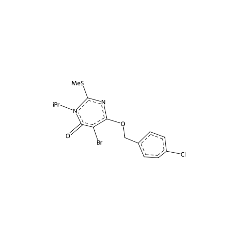 CSc1nc(OCc2ccc(Cl)cc2)c(Br)c(=O)n1C(C)C